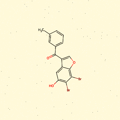 Cc1cccc(C(=O)c2coc3c(Br)c(Br)c(O)cc23)c1